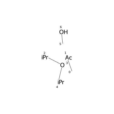 CC(C)=O.CC(C)OC(C)C.CO